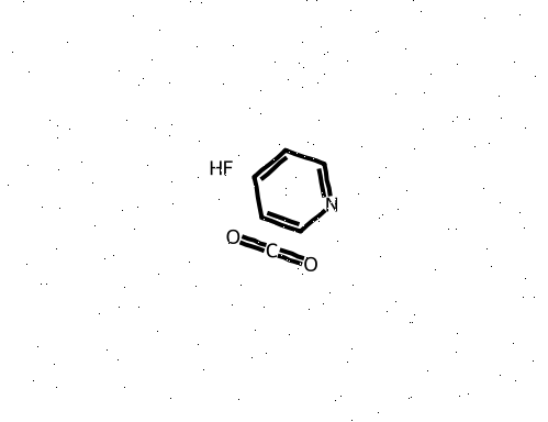 F.O=C=O.c1ccncc1